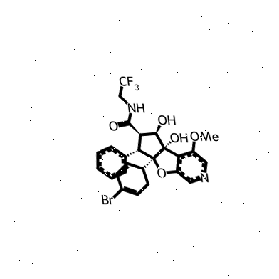 COc1cncc2c1[C@]1(O)[C@H](O)[C@H](C(=O)NCC(F)(F)F)[C@@H](c3ccccc3)[C@]1(C1C=CC(Br)=CC1)O2